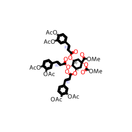 COC(=O)O[C@]1(C(=O)OC)C[C@@H](OC(=O)/C=C/c2ccc(OC(C)=O)c(OC(C)=O)c2)[C@H](OC(=O)/C=C/c2ccc(OC(C)=O)c(OC(C)=O)c2)[C@H](OC(=O)/C=C/c2ccc(OC(C)=O)c(OC(C)=O)c2)C1